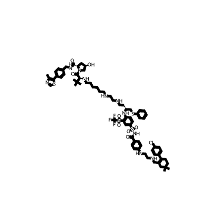 Cc1ncsc1-c1ccc(CNC(=O)[C@@H]2C[C@@H](O)CN2C(=O)[C@@H](NCCCCCCNCCNCC[C@H](CSc2ccccc2)Nc2ccc(S(=O)(=O)NC(=O)c3ccc(NCCNCC4=C(c5ccc(Cl)cc5)CCC(C)(C)C4)cc3)cc2S(=O)(=O)C(F)(F)F)C(C)(C)C)cc1